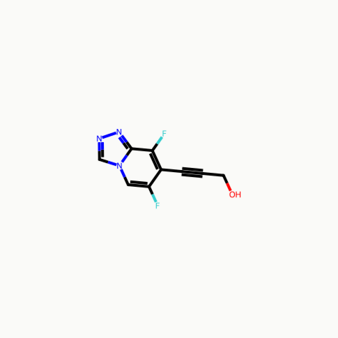 OCC#Cc1c(F)cn2cnnc2c1F